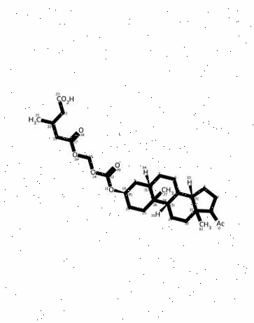 CC(=O)C1CC[C@H]2C3CC[C@H]4C[C@H](OC(=O)OCOC(=O)CC(C)CC(=O)O)CCC4(C)[C@H]3CCC12C